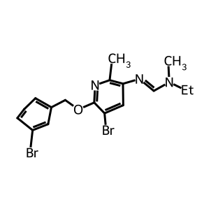 CCN(C)/C=N/c1cc(Br)c(OCc2cccc(Br)c2)nc1C